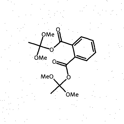 COC(C)(OC)OC(=O)c1ccccc1C(=O)OC(C)(OC)OC